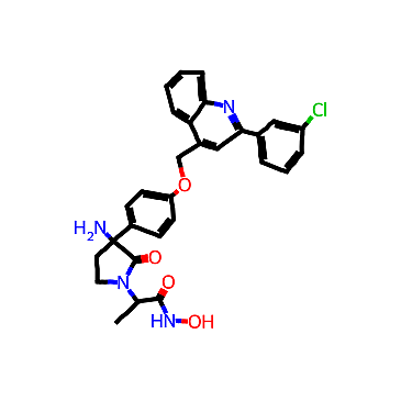 CC(C(=O)NO)N1CCC(N)(c2ccc(OCc3cc(-c4cccc(Cl)c4)nc4ccccc34)cc2)C1=O